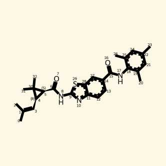 CC(C)=C[C@@H]1[C@H](C(=O)Nc2nc3ccc(C(=O)Nc4c(C)cc(C)cc4C)cc3s2)C1(C)C